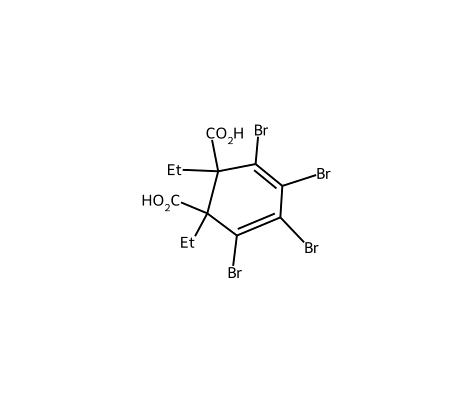 CCC1(C(=O)O)C(Br)=C(Br)C(Br)=C(Br)C1(CC)C(=O)O